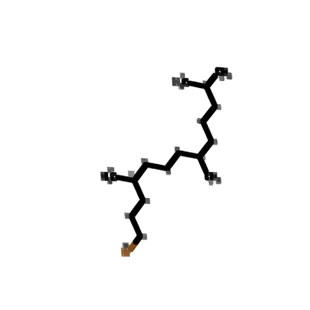 CC(C)CCCC(C)CCCC(C)CCCBr